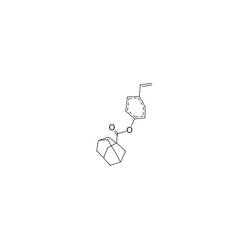 C=Cc1ccc(OC(=O)C23CC4CC(CC(C4)C2)C3)cc1